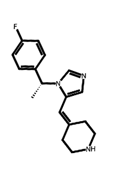 C[C@H](c1ccc(F)cc1)n1cncc1C=C1CCNCC1